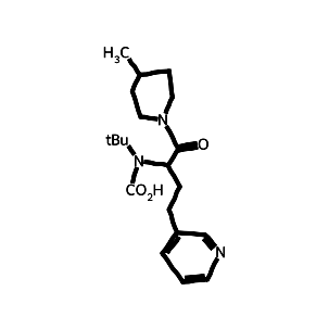 CC1CCN(C(=O)C(CCc2cccnc2)N(C(=O)O)C(C)(C)C)CC1